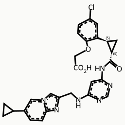 O=C(O)COc1ccc(Cl)cc1[C@H]1C[C@@H]1C(=O)Nc1cc(NCc2cn3cc(C4CC4)ccc3n2)ncn1